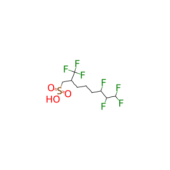 O=S(=O)(O)CC(CCCC(F)C(F)C(F)F)C(F)(F)F